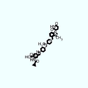 CN1CN(C2CCC(=O)NC2=O)c2cccc(CN3CCC(N(C)C[C@H]4CC[C@H](n5cc6cc(NC(=O)C7CC7)c(C(C)(C)O)cc6n5)CC4)CC3)c21